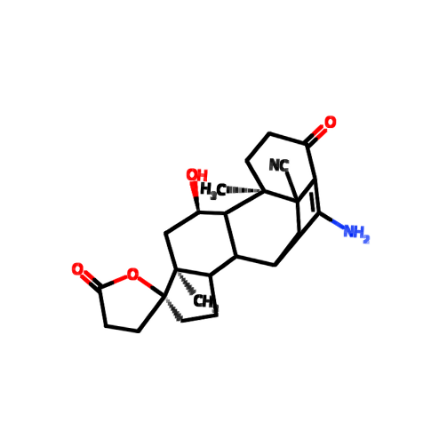 C[C@]12C[C@@H](O)C3C(C4CC5(C#N)C(=C4N)C(=O)CC[C@]35C)C1CC[C@@]21CCC(=O)O1